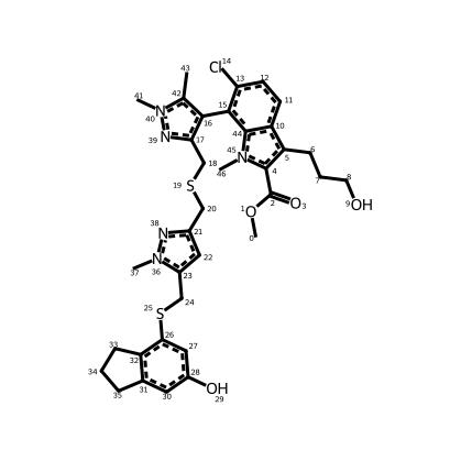 COC(=O)c1c(CCCO)c2ccc(Cl)c(-c3c(CSCc4cc(CSc5cc(O)cc6c5CCC6)n(C)n4)nn(C)c3C)c2n1C